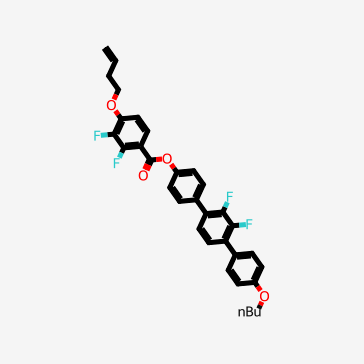 C=CCCOc1ccc(C(=O)Oc2ccc(-c3ccc(-c4ccc(OCCCC)cc4)c(F)c3F)cc2)c(F)c1F